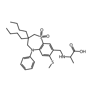 CCCCC1(CCCC)CN(c2ccccc2)c2cc(SC)c(CNC(C)C(=O)O)cc2S(=O)(=O)C1